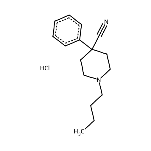 CCCCN1CCC(C#N)(c2ccccc2)CC1.Cl